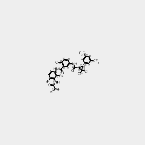 O=C(Nc1ccc(F)c(NC(=O)C(F)F)c1F)c1cc(NC(=O)[C@H]2[C@H](c3cc(C(F)(F)F)cc(C(F)(F)F)c3)C2(Cl)Cl)ccc1Cl